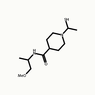 COCC(C)NC(=O)C1CCN(C(C)S)CC1